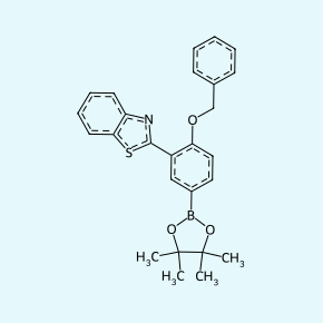 CC1(C)OB(c2ccc(OCc3ccccc3)c(-c3nc4ccccc4s3)c2)OC1(C)C